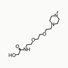 CN1CCN(CCOCCOCCNC(=O)CO)CC1